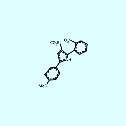 CCOC(=O)c1cc(-c2ccc(OC)cc2)[nH]c1-c1ccccc1[N+](=O)[O-]